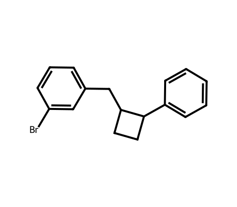 Brc1cccc(CC2CCC2c2ccccc2)c1